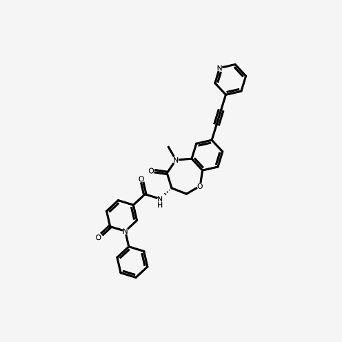 CN1C(=O)[C@@H](NC(=O)c2ccc(=O)n(-c3ccccc3)c2)COc2ccc(C#Cc3cccnc3)cc21